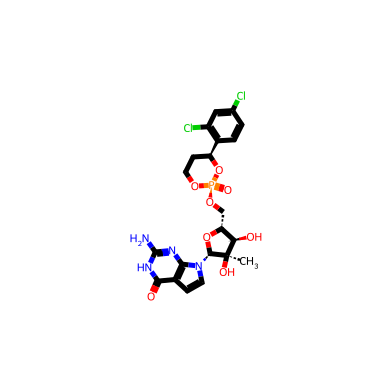 C[C@@]1(O)[C@H](O)[C@@H](CO[P@@]2(=O)OCC[C@@H](c3ccc(Cl)cc3Cl)O2)O[C@H]1n1ccc2c(=O)[nH]c(N)nc21